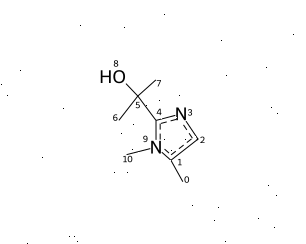 Cc1cnc(C(C)(C)O)n1C